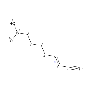 N#C/C=C/CCCCB(O)O